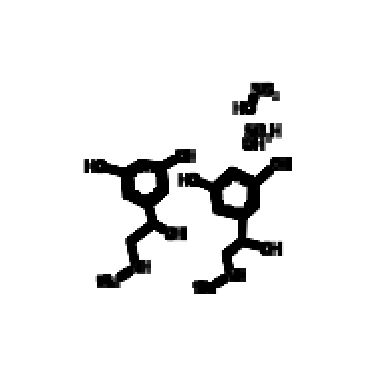 CC(C)(C)NCC(O)c1cc(O)cc(O)c1.CC(C)(C)NCC(O)c1cc(O)cc(O)c1.O=S(=O)(O)O.O=[N+]([O-])O